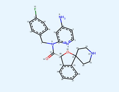 Nc1ccnc(N(Cc2ccc(F)cc2)C(=O)[C@@H]2OC3(CCNCC3)c3ccccc32)c1